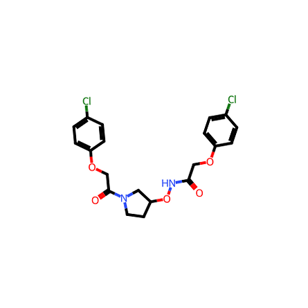 O=C(COc1ccc(Cl)cc1)NOC1CCN(C(=O)COc2ccc(Cl)cc2)C1